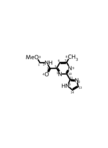 COCNC(=O)c1cc(C)nc(-c2ncc[nH]2)n1